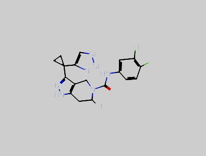 CC1Cc2[nH]nc(C3(C4=CNNN4)CC3)c2CN1C(=O)Nc1ccc(F)c(Cl)c1